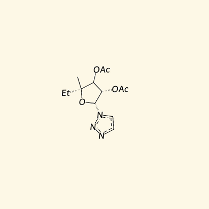 CC[C@@]1(C)O[C@@H](n2ccnn2)[C@@H](OC(C)=O)C1OC(C)=O